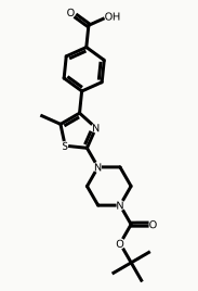 Cc1sc(N2CCN(C(=O)OC(C)(C)C)CC2)nc1-c1ccc(C(=O)O)cc1